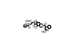 O=C[C@H](CNC(=O)c1cccs1)NC(=O)c1c(Cl)cc2c(c1Cl)CCN(C(=O)c1cc(O)nc3ccccc13)C2